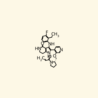 C=CC(=O)N1CCC[C@H]1COc1cnccc1-c1[nH]c2c(c1Nc1cccc(F)c1CC)C(=O)NCC2